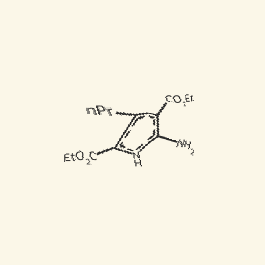 CCCc1c(C(=O)OCC)[nH]c(N)c1C(=O)OCC